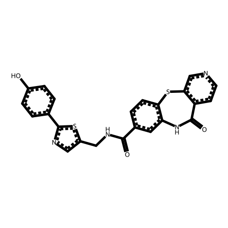 O=C(NCc1cnc(-c2ccc(O)cc2)s1)c1ccc2c(c1)NC(=O)c1ccncc1S2